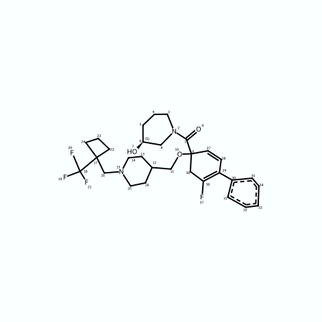 O=C(N1CCC[C@H](O)C1)C1(OCC2CCN(CC3(C(F)(F)F)CCC3)CC2)C=CC(c2ccccc2)=C(F)C1